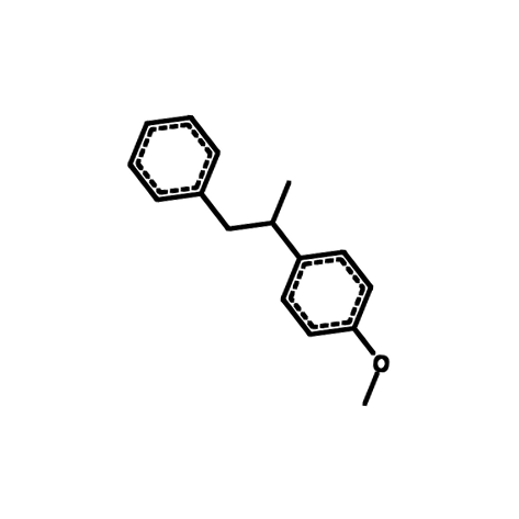 COc1ccc(C(C)Cc2ccccc2)cc1